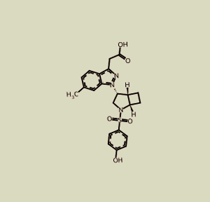 Cc1ccc2c(CC(=O)O)nn([C@H]3CN(S(=O)(=O)c4ccc(O)cc4)[C@H]4CC[C@H]43)c2c1